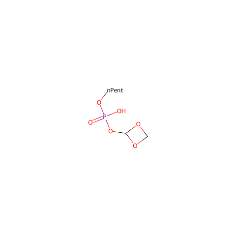 CCCCCOP(=O)(O)OC1OCO1